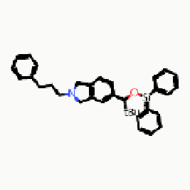 CC(C)(C)C(O[SiH](c1ccccc1)c1ccccc1)c1ccc2c(c1)CN(CCCc1ccccc1)C2